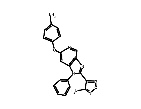 Nc1ccc(Oc2cc3c(cn2)nc(-c2nonc2N)n3-c2ccccc2)cc1